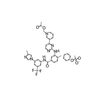 CC(=O)OC[n+]1cccc(-c2ccnc(Nc3cc(C(=O)Nc4cc(-n5cnc(C)c5)cc(C(F)(F)F)c4)ccc3C)n2)c1.CS(=O)(=O)[O-].c1ccccc1